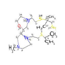 CC(C)SCCN1CCN(C)CC1C1CN(CCSC(C)(C)CS)CCO1